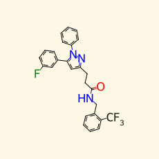 O=C(CCc1cc(-c2cccc(F)c2)n(-c2ccccc2)n1)NCc1ccccc1C(F)(F)F